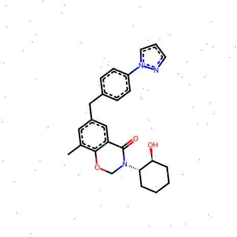 Cc1cc(Cc2ccc(-n3cccn3)cc2)cc2c1OCN([C@H]1CCCC[C@@H]1O)C2=O